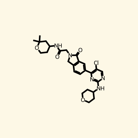 CC1(C)CC(NC(=O)CN2Cc3ccc(-c4nc(NC5CCOCC5)ncc4Cl)cc3C2=O)CCO1